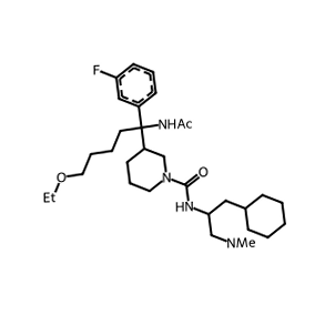 CCOCCCCC(NC(C)=O)(c1cccc(F)c1)C1CCCN(C(=O)NC(CNC)CC2CCCCC2)C1